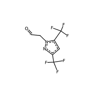 O=[C]Cn1nc(C(F)(F)F)cc1C(F)(F)F